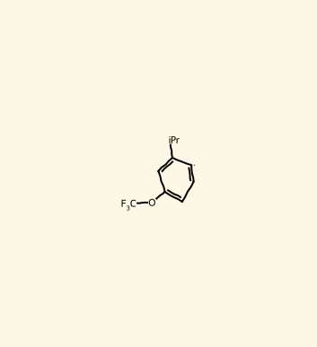 CC(C)c1[c]ccc(OC(F)(F)F)c1